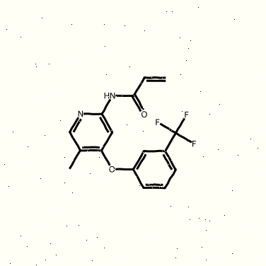 C=CC(=O)Nc1cc(Oc2cccc(C(F)(F)F)c2)c(C)cn1